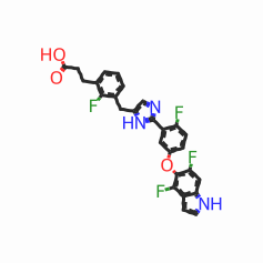 O=C(O)CCc1cccc(Cc2cnc(-c3cc(Oc4c(F)cc5[nH]ccc5c4F)ccc3F)[nH]2)c1F